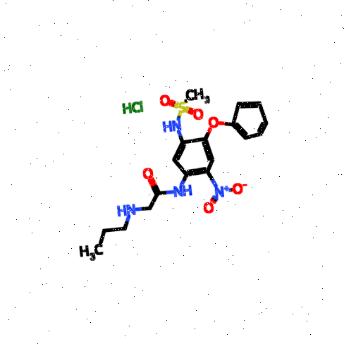 CCCNCC(=O)Nc1cc(NS(C)(=O)=O)c(Oc2ccccc2)cc1[N+](=O)[O-].Cl